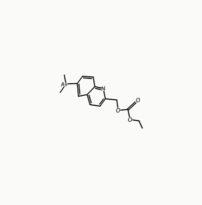 CCOC(=O)OCc1ccc2cc([As](C)C)ccc2n1